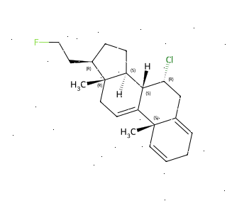 C[C@]12C=CCC=C1C[C@@H](Cl)[C@@H]1C2=CC[C@]2(C)[C@@H](CCF)CC[C@@H]12